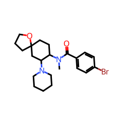 CN(C(=O)c1ccc(Br)cc1)C1CCC2(CCCO2)CC1N1CCCCC1